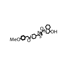 COc1ccc(CC(=O)N2CCC(c3nc(C(=O)N4CCC(O)C5CCCCC54)cs3)CC2)cc1